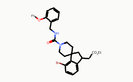 CCOC(=O)CC1CC2(CCN(C(=O)NCc3ccccc3OCC)CC2)c2c(Br)cccc21